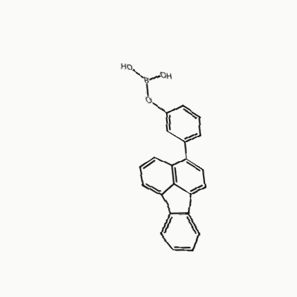 OB(O)Oc1cccc(-c2ccc3c4c(cccc24)-c2ccccc2-3)c1